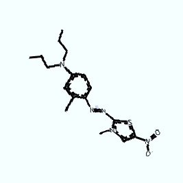 CCCN(CCC)c1ccc(/N=N/c2sc([N+](=O)[O-])c[n+]2C)c(C)c1